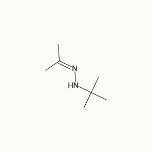 CC(C)=NNC(C)(C)C